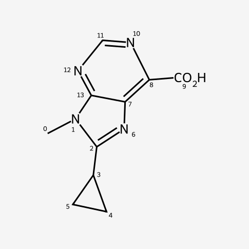 Cn1c(C2CC2)nc2c(C(=O)O)ncnc21